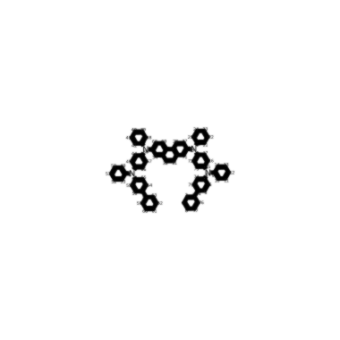 c1ccc(-c2ccc(N(c3ccccc3)c3ccc(N(c4ccccc4)c4ccc5c(ccc6cc(N(c7ccccc7)c7ccc(N(c8ccccc8)c8ccc(-c9ccccc9)cc8)cc7)ccc65)c4)cc3)cc2)cc1